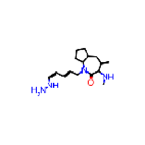 CNC1C(=O)N(C/C=C/C=C\NN)C2CCCC2CC1C